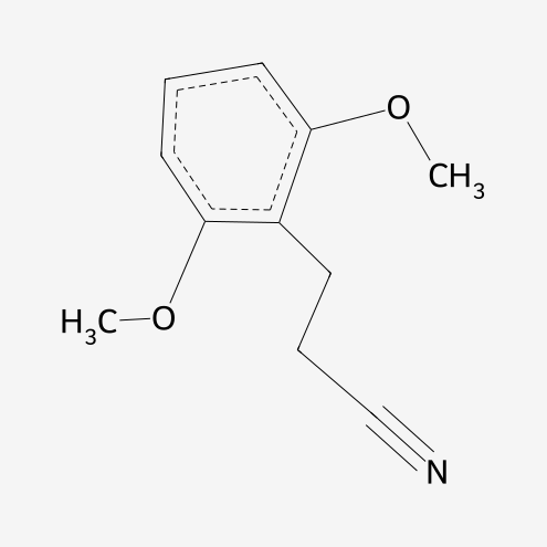 COc1cccc(OC)c1CCC#N